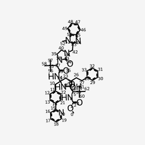 COC(=O)NC(C(=O)NC(Cc1ccc(-c2ccccn2)cc1)(CC(O)CCc1ccccc1)NC(=O)C(N1CCN(Cc2nc3ccccc3n2C)C1=O)C(C)(C)C)C(C)(C)C